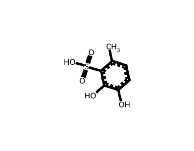 Cc1ccc(O)c(O)c1S(=O)(=O)O